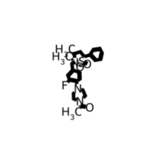 CC(=O)N1CCN(c2ccc(CN3C(C)(C)CC(c4ccccc4)S3(=O)=O)cc2F)CC1